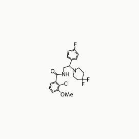 COc1cccc(C(=O)NCC(c2ccc(F)cc2)N2CCC(F)(F)CC2)c1Cl